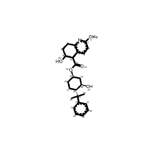 COc1ccc2c(n1)CCC(O)C2C(=O)O[C@@H]1CC[C@@H](C(C)(C)c2ccccc2)[C@H](O)C1